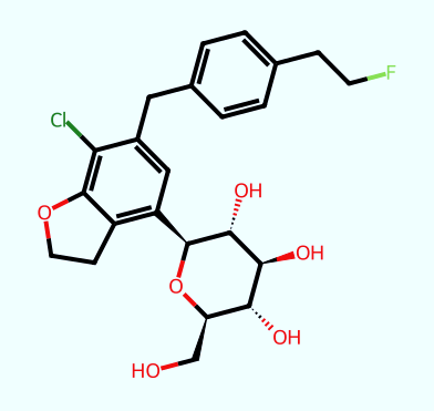 OC[C@H]1O[C@@H](c2cc(Cc3ccc(CCF)cc3)c(Cl)c3c2CCO3)[C@H](O)[C@@H](O)[C@@H]1O